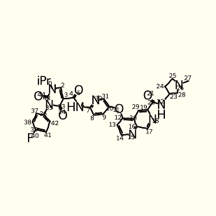 CC(C)n1cc(C(=O)Nc2ccc(Oc3ccnc4cnc(C(=O)NC5CCN(C)C5)cc34)cn2)c(=O)n(-c2ccc(F)cc2)c1=O